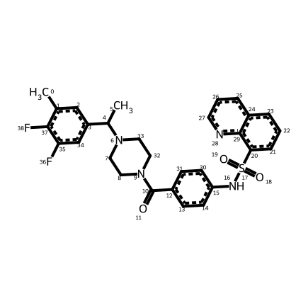 Cc1cc(C(C)N2CCN(C(=O)c3ccc(NS(=O)(=O)c4cccc5cccnc45)cc3)CC2)cc(F)c1F